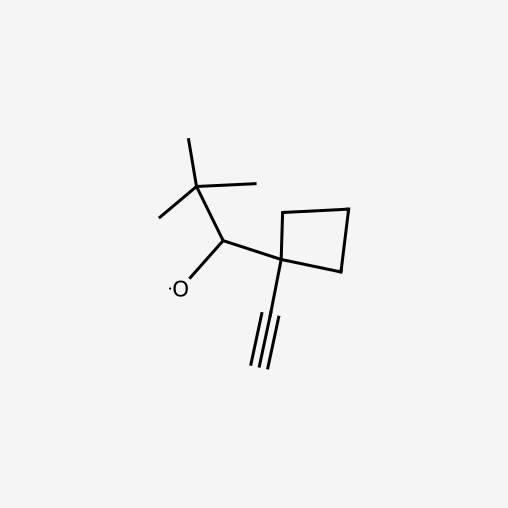 C#CC1(C([O])C(C)(C)C)CCC1